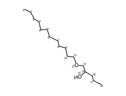 CCCCCCCCCCCCOCC(O)CCC